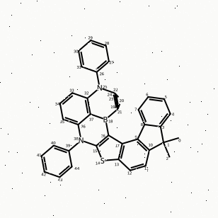 CC1(C)c2ccccc2-c2c1ccc1sc3c(c21)B1c2ccccc2N(c2ccccc2)c2cccc(c21)N3c1ccccc1